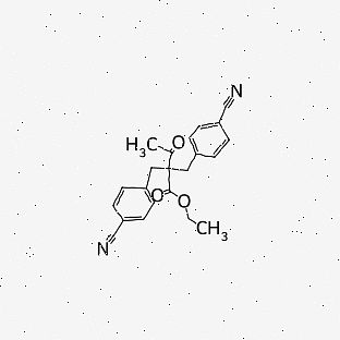 CCOC(=O)C(Cc1ccc(C#N)cc1)(Cc1ccc(C#N)cc1)C(C)=O